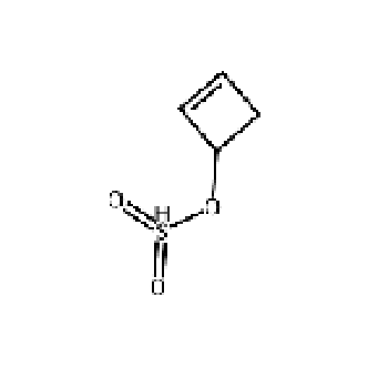 O=[SH](=O)OC1C=CC1